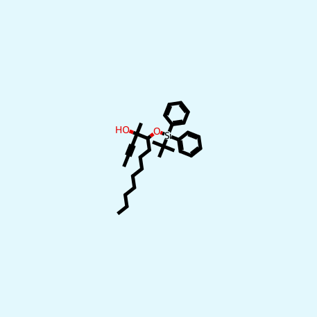 CC#CC(C)(O)C(CCCCCCCC)O[Si](c1ccccc1)(c1ccccc1)C(C)(C)C